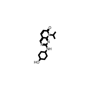 CC(C)n1c(=O)ccc2cnc(NC3CCC(O)CC3)nc21